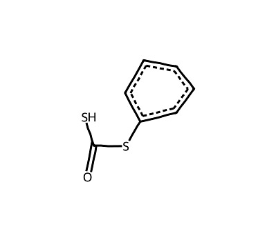 O=C(S)Sc1ccccc1